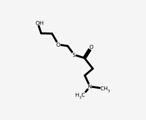 CN(C)CCC(=O)SCOCCO